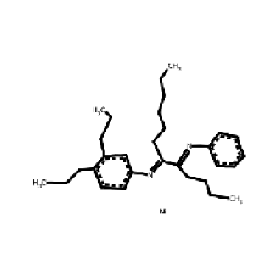 CCCCCCC(=Nc1ccc(CCC)c(CCC)c1)C(CCCC)=Nc1ccccc1.[Ni]